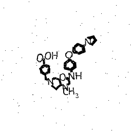 CN(CC(=O)Nc1ccc(Oc2ccc(-n3cccc3)cc2)cc1)C1CCN(Cc2ccc(C(=O)O)cc2)CC1